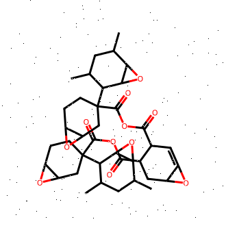 CC1CC(C)C(C2(C(=O)OC(=O)C3C=C4OC4CC3C(=O)OC(=O)C3(C4C(C)CC(C)C5OC54)CCC4OC4C3)CCC3OC3C2)C2OC12